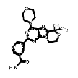 CC1(C)OCCn2c1nc1c(N3CCOCC3)nc(-c3cncc(C(N)=O)c3)nc12